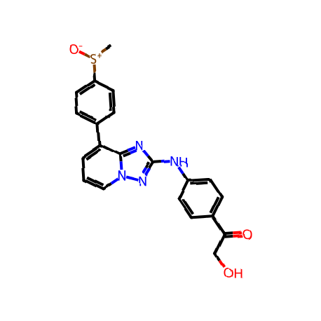 C[S+]([O-])c1ccc(-c2cccn3nc(Nc4ccc(C(=O)CO)cc4)nc23)cc1